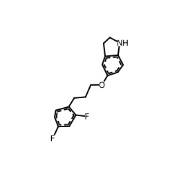 Fc1ccc(CCCOc2ccc3c(c2)CCN3)c(F)c1